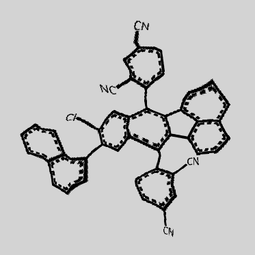 N#Cc1ccc(-c2c3c(c(-c4ccc(C#N)cc4C#N)c4cc(-c5cccc6ccccc56)c(Cl)cc24)-c2cccc4cccc-3c24)c(C#N)c1